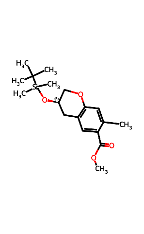 COC(=O)c1cc2c(cc1C)OC[C@H](O[Si](C)(C)C(C)(C)C)C2